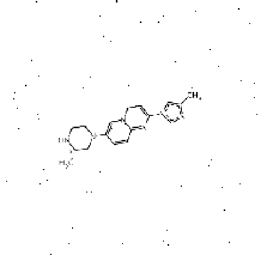 Cc1cn(C2=CCN3C=C(N4CCN[C@@H](C)C4)C=CC3=N2)cn1